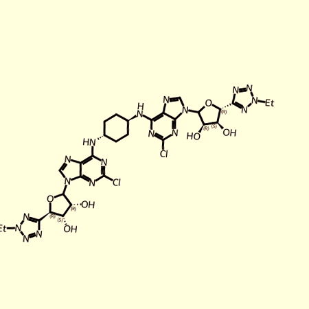 CCn1nnc([C@H]2OC(n3cnc4c(N[C@H]5CC[C@H](Nc6nc(Cl)nc7c6ncn7C6O[C@H](c7nnn(CC)n7)[C@@H](O)[C@H]6O)CC5)nc(Cl)nc43)[C@H](O)[C@@H]2O)n1